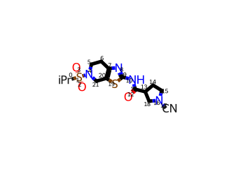 CC(C)S(=O)(=O)N1CCc2nc(NC(=O)C3CCN(C#N)C3)sc2C1